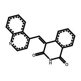 O=C1NC(=O)c2ccccc2C1=Cc1ccnc2ccccc12